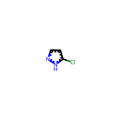 Clc1c[c]n[nH]1